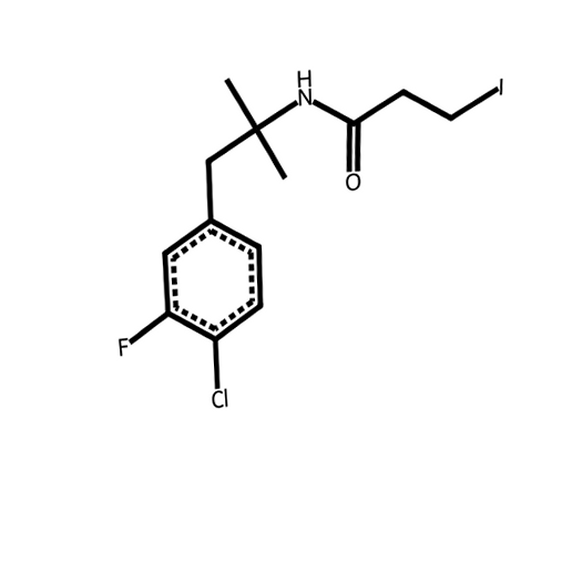 CC(C)(Cc1ccc(Cl)c(F)c1)NC(=O)CCI